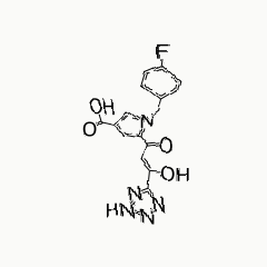 O=C(O)c1cc(C(=O)C=C(O)c2nn[nH]n2)n(Cc2ccc(F)cc2)c1